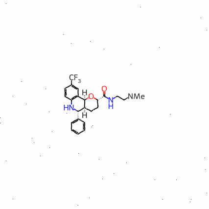 CNCCNC(=O)[C@@H]1CC[C@@H]2[C@H](O1)c1cc(C(F)(F)F)ccc1N[C@H]2c1ccccc1